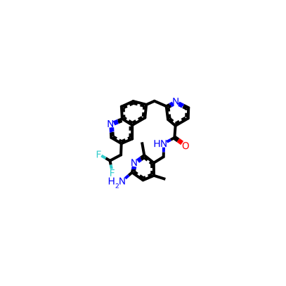 Cc1cc(N)nc(C)c1CNC(=O)c1ccnc(Cc2ccc3ncc(CC(F)F)cc3c2)c1